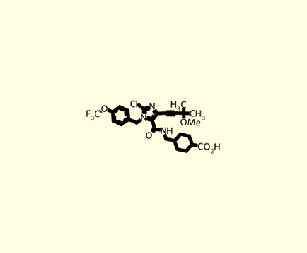 COC(C)(C)C#Cc1nc(Cl)n(Cc2ccc(OC(F)(F)F)cc2)c1C(=O)NCC1CCC(C(=O)O)CC1